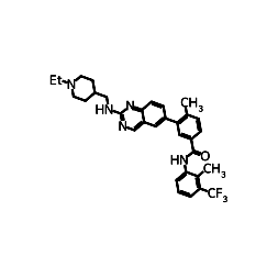 CCN1CCC(CNc2ncc3cc(-c4cc(C(=O)Nc5cccc(C(F)(F)F)c5C)ccc4C)ccc3n2)CC1